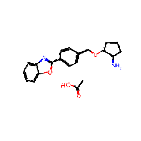 CC(=O)O.NC1CCCC1OCc1ccc(-c2nc3ccccc3o2)cc1